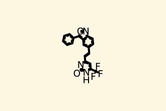 O=c1nc(C=Cc2ccc3noc(-c4ccccc4)c3c2)cc(C(F)(F)F)[nH]1